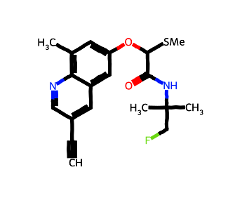 C#Cc1cnc2c(C)cc(OC(SC)C(=O)NC(C)(C)CF)cc2c1